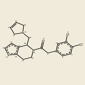 O=C(Cc1ccc(Cl)c(Cl)c1)N1CCc2sccc2C1CN1CC=CC1